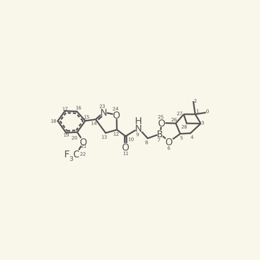 CC1(C)C2CC3OB(CNC(=O)C4CC(c5ccccc5OC(F)(F)F)=NO4)OC3C1C2